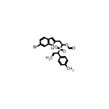 C=CC(c1ccc(C)cc1)S(=O)(=O)C(Cc1cc2ccc(Br)cc2[nH]1)OC=O